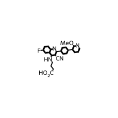 COc1ncccc1-c1ccc(-c2nc3ccc(F)cc3c(NCCCC(=O)O)c2C#N)cc1